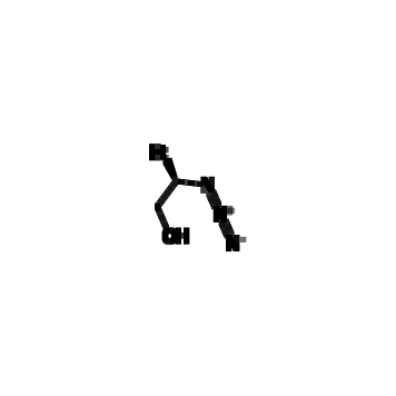 CC[C@H](CO)N=[N+]=[N-]